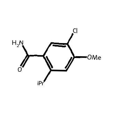 COc1cc(C(C)C)c(C(N)=O)cc1Cl